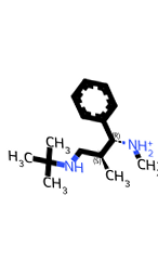 [CH2-][NH2+][C@@H](c1ccccc1)[C@@H](C)CNC(C)(C)C